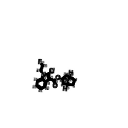 CN1[C@@H]2CC[C@H]1C[C@H](OC(=O)c1c(Cl)n(CCF)c3ccccc13)C2